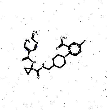 C=C/N=C\C(=C/N)C(=O)NC1(C(=O)NCC2CCN(c3ccc(Cl)cc3C(=O)OC)CC2)CC1